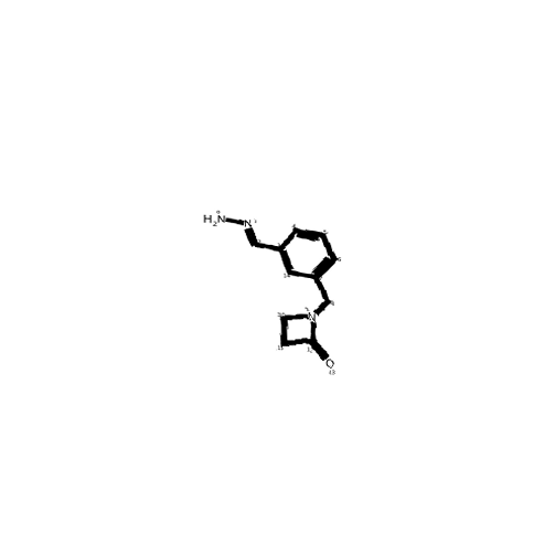 NN=Cc1cccc(CN2CCC2=O)c1